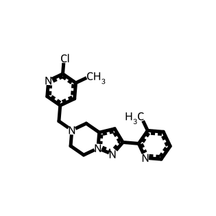 Cc1cc(CN2CCn3nc(-c4ncccc4C)cc3C2)cnc1Cl